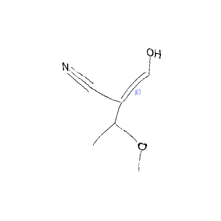 COC(C)/C(C#N)=C/O